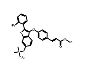 CC(C)OC(=O)/C=C/c1ccc(Oc2c(-c3ccccc3C(C)C)sc3cc(O[Si](C)(C)C(C)(C)C)ccc23)cc1